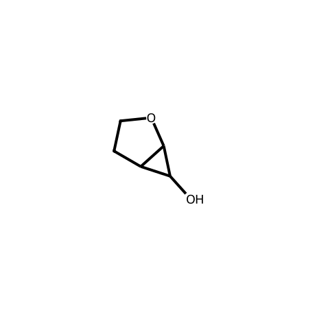 OC1C2CCOC12